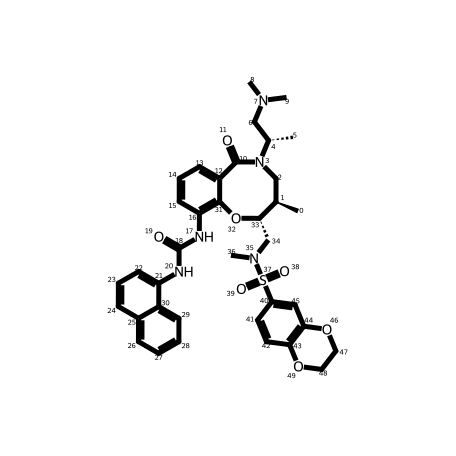 C[C@@H]1CN([C@@H](C)CN(C)C)C(=O)c2cccc(NC(=O)Nc3cccc4ccccc34)c2O[C@H]1CN(C)S(=O)(=O)c1ccc2c(c1)OCCO2